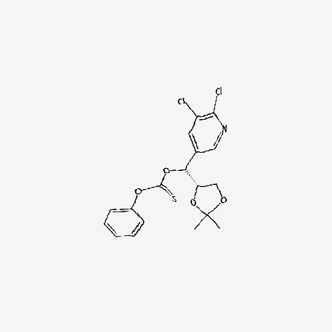 CC1(C)OC[C@@H](C(OC(=S)Oc2ccccc2)c2cnc(Cl)c(Cl)c2)O1